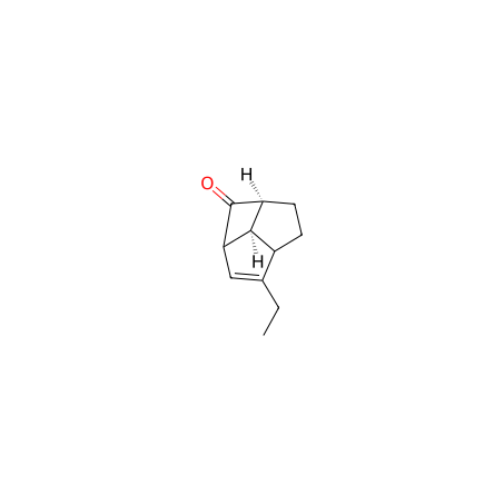 CCC1=CC2C(=O)[C@H]3CCC1[C@@H]23